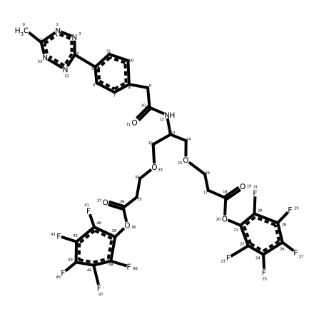 Cc1nnc(-c2ccc(CC(=O)NC(COCCC(=O)Oc3c(F)c(F)c(F)c(F)c3F)COCCC(=O)Oc3c(F)c(F)c(F)c(F)c3F)cc2)nn1